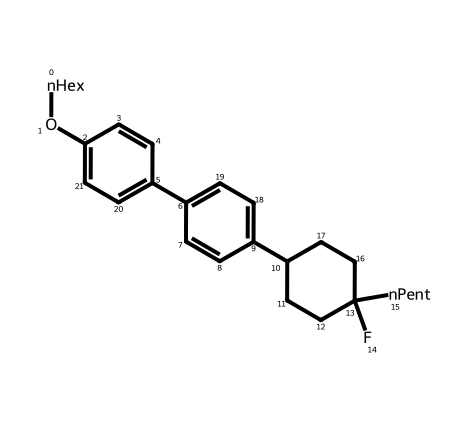 CCCCCCOc1ccc(-c2ccc(C3CCC(F)(CCCCC)CC3)cc2)cc1